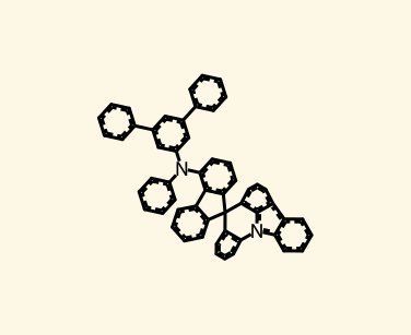 c1ccc(-c2cc(-c3ccccc3)cc(N(c3ccccc3)c3cccc4c3-c3ccccc3C43c4ccccc4-n4c5ccccc5c5cccc3c54)c2)cc1